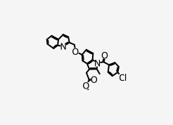 COC(=O)Cc1c(C)n(C(=O)c2ccc(Cl)cc2)c2ccc(OCc3ccc4ccccc4n3)cc12